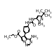 CCOC(=O)c1cn2ncnc(N)c2c1-c1ccc(NC(=O)Nc2cc(C(C)(C)C)nn2C)cc1